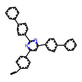 C=Cc1ccc(-c2cc(-c3ccc(-c4ccccc4)cc3)nc(-c3ccc(-c4ccccc4)cc3)n2)cc1